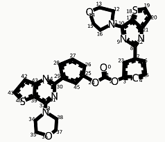 O=C(Oc1cccc(-c2nc(N3CCOCC3)c3sccc3n2)c1)Oc1cccc(-c2nc(N3CCOCC3)c3sccc3n2)c1